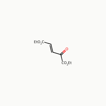 CCOC(=O)/C=C/C(=O)C(=O)OCC